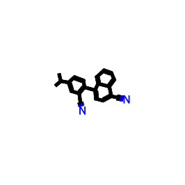 CC(C)c1ccc(-c2ccc(C#N)c3ccccc23)c(C#N)c1